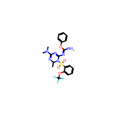 CC1N=C(N(C)C)N=C(N=C(N)Oc2ccccc2)N1S(=O)(=O)c1ccccc1OC(F)(F)F